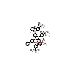 CC(C)(C)c1ccc(N2c3cc(N4c5ccc(C(C)(C)C)cc5C5(C)CCCCC45C)ccc3B3c4ccc(-c5ccccc5)cc4N(c4ccc(C(C)(C)C)cc4-c4ccccc4)c4cc(C(C)(C)C)cc2c43)cc1